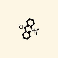 CN(C)[n+]1c2ccccc2cc2ccccc21.[Cl-]